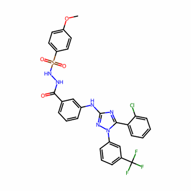 COc1ccc(S(=O)(=O)NNC(=O)c2cccc(Nc3nc(-c4ccccc4Cl)n(-c4cccc(C(F)(F)F)c4)n3)c2)cc1